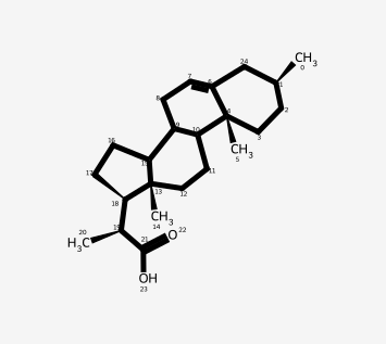 C[C@H]1CC[C@@]2(C)C(=CCC3C2CC[C@@]2(C)C3CC[C@@H]2[C@H](C)C(=O)O)C1